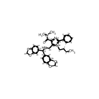 CCCCn1c(-c2ccccc2)nc(C(=O)N(C)C)c1CNC(c1ccc2c(c1)OCO2)c1ccc2c(c1)OCO2